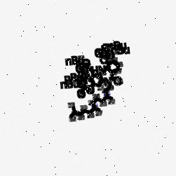 CCCCO[PH](=O)Oc1cc(CP(=O)(OCCCC)OCCCC)c2c(c1)N(C/C=C(\C)CC/C=C(\C)CCC=C(C)C)C(=O)c1cccc(OP(=O)(OCCCC)OCCCC)c1N2